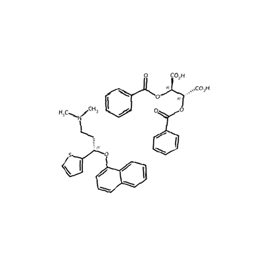 CN(C)CC[C@H](Oc1cccc2ccccc12)c1cccs1.O=C(O[C@@H](C(=O)O)[C@@H](OC(=O)c1ccccc1)C(=O)O)c1ccccc1